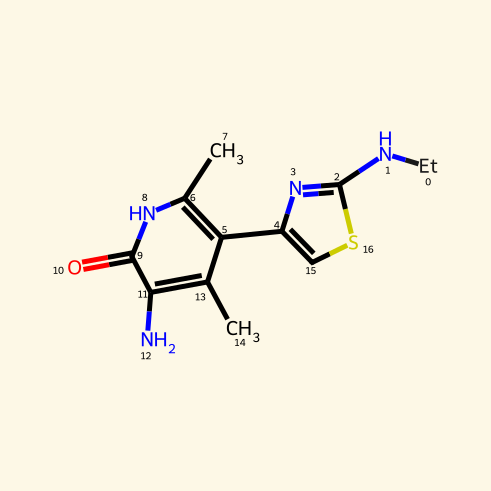 CCNc1nc(-c2c(C)[nH]c(=O)c(N)c2C)cs1